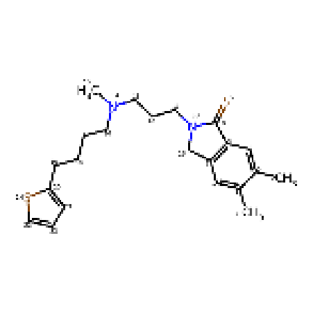 Cc1cc2c(cc1C)C(=S)N(CCCN(C)CCCCc1cccs1)C2